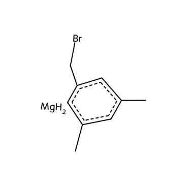 Cc1cc(C)cc(CBr)c1.[MgH2]